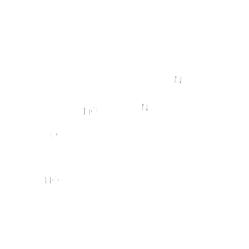 C=CCC1=NCCN1CC(O)CC(=O)O